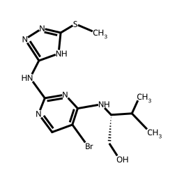 CSc1nnc(Nc2ncc(Br)c(N[C@@H](CO)C(C)C)n2)[nH]1